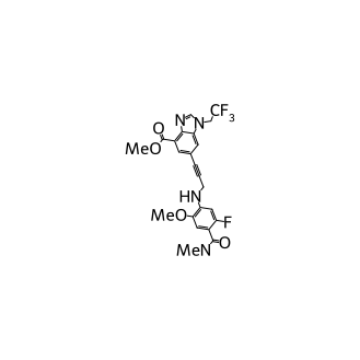 CNC(=O)c1cc(OC)c(NCC#Cc2cc(C(=O)OC)c3ncn(CC(F)(F)F)c3c2)cc1F